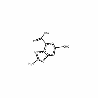 CC(C)(C)C(=O)c1cc(C=O)cc2sc(N)nc12